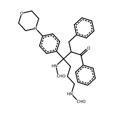 O=CNCCCC(NC=O)(c1ccc(N2CCOCC2)cc1)C(Cc1ccccc1)C(=O)c1ccccc1